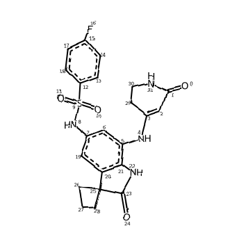 O=C1C=C(Nc2cc(NS(=O)(=O)c3ccc(F)cc3)cc3c2NC(=O)C32CCC2)CCN1